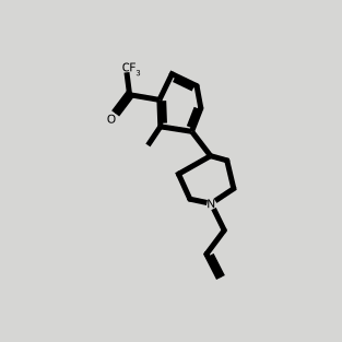 C=CCN1CCC(c2cccc(C(=O)C(F)(F)F)c2C)CC1